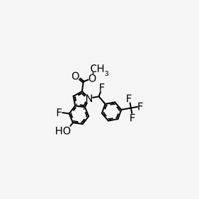 COC(=O)c1cc2c(F)c(O)ccc2n1C(F)c1cccc(C(F)(F)F)c1